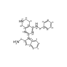 NCc1cc2ccccc2n1-c1nc2c(c(NCc3ccccc3)n1)CCNC2